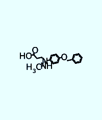 CNN(CCC(=O)O)c1ccc(OCc2ccccc2)cc1